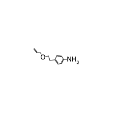 C=CCOCCc1ccc(N)cc1